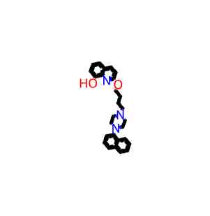 Oc1cccc2ccc(OCCCCN3CCN(c4cccc5ccccc45)CC3)nc12